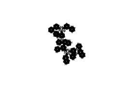 c1ccc(-c2cccc(-c3nc(-c4cccc(-c5ccccc5)c4)nc(-c4ccc(-n5c6ccccc6c6c(-c7cc(-c8ccccc8)cc(-c8nc(-c9ccc%10ccccc%10c9)nc(-c9ccc(-n%10c%11ccccc%11c%11cc%12ccccc%12cc%11%10)c%10oc%11ccccc%11c9%10)n8)c7)c7ccccc7cc65)c5oc6ccccc6c45)n3)c2)cc1